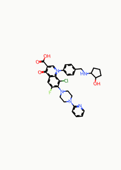 O=C(O)c1cn(-c2ccc(CNC3CCCC3O)cc2)c2c(Cl)c(N3CCN(c4ccccn4)CC3)c(F)cc2c1=O